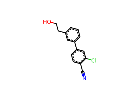 N#Cc1ccc(-c2cccc(CCO)c2)cc1Cl